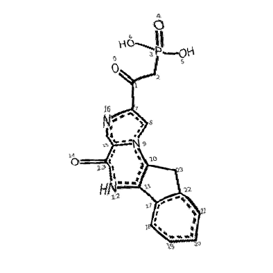 O=C(CP(=O)(O)O)c1cn2c3c([nH]c(=O)c2n1)-c1ccccc1C3